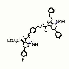 CCOC(=O)c1sc(SCc2ccc(CCOC(=O)c3sc(SCc4ccccc4)c4c3CC(c3ccc(C)cc3)C/C4=N\O)cc2)c2c1CC(c1ccc(F)cc1)C/C2=N\O